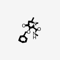 CNC(=O)c1c(OCc2ccccc2)c(=O)cc(C)n1C